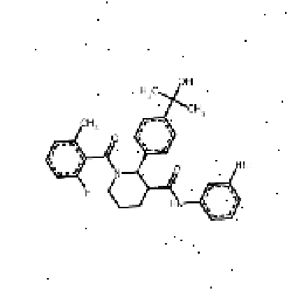 Cc1cccc(F)c1C(=O)N1CCC[C@H](C(=O)Nc2cccc(C(C)(C)C)c2)[C@@H]1c1ccc(C(C)(C)O)cc1